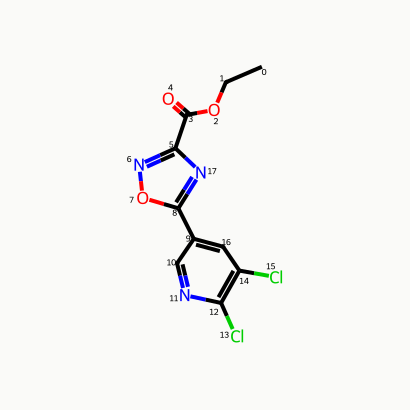 CCOC(=O)c1noc(-c2cnc(Cl)c(Cl)c2)n1